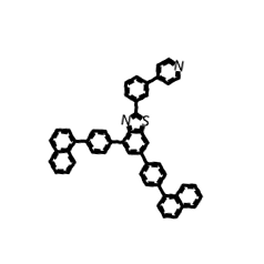 c1cc(-c2ccncc2)cc(-c2nc3c(-c4ccc(-c5cccc6ccccc56)cc4)cc(-c4ccc(-c5cccc6ccccc56)cc4)cc3s2)c1